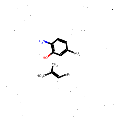 CCC/C=C(\C)C(=O)O.Nc1ccc([N+](=O)[O-])cc1O